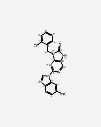 [C-]#[N+]c1ccc2ncn(-c3ncc4[nH]c(=O)n(Cc5ccccc5Cl)c4n3)c2c1